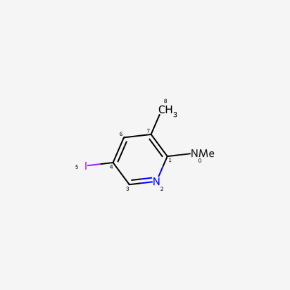 CNc1ncc(I)cc1C